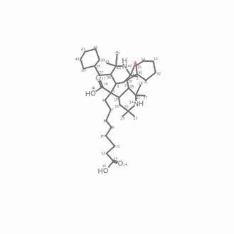 CC1(C)CC(C(CCCCCCCC(=O)O)(C(=O)O)C2CC(C)(C)NC(C)(C)C2CC2CCCCC2)C(CC2CCCCC2)C(C)(C)N1